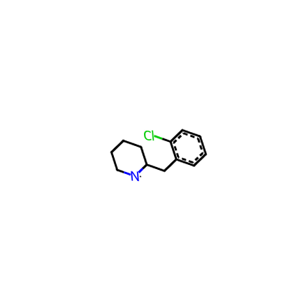 Clc1ccccc1CC1CCCC[N]1